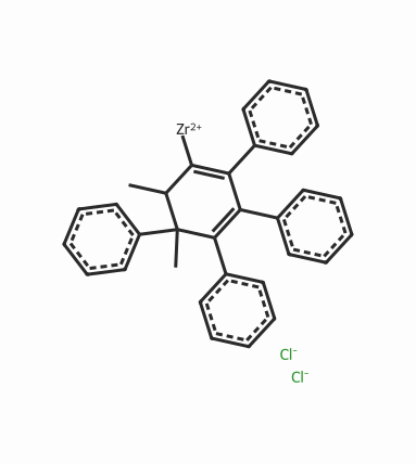 CC1[C]([Zr+2])=C(c2ccccc2)C(c2ccccc2)=C(c2ccccc2)C1(C)c1ccccc1.[Cl-].[Cl-]